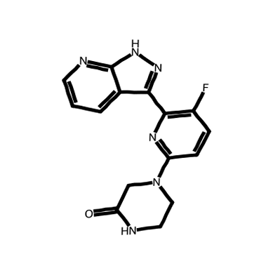 O=C1CN(c2ccc(F)c(-c3n[nH]c4ncccc34)n2)CCN1